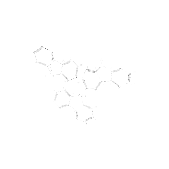 c1ccc2c(c1)[nH]c1c(-c3cccc4c5ccccc5n(-c5ccc6sc7ccccc7c6c5)c34)cccc12